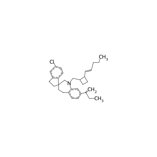 C=C(CC)c1ccc2c(c1)N(CC1CCC1/C=C/CCC)CC1(CC2)CCc2cc(Cl)ccc21